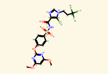 COc1cc(OC)nc(Oc2ccc(S(=O)(=O)NC(=O)c3ncn(CCC(F)(F)F)c3Cl)cc2)n1